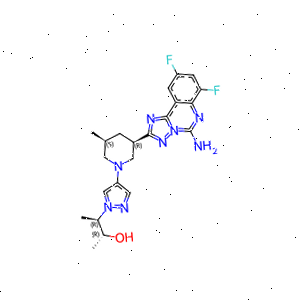 C[C@H]1C[C@@H](c2nc3c4cc(F)cc(F)c4nc(N)n3n2)CN(c2cnn([C@H](C)[C@@H](C)O)c2)C1